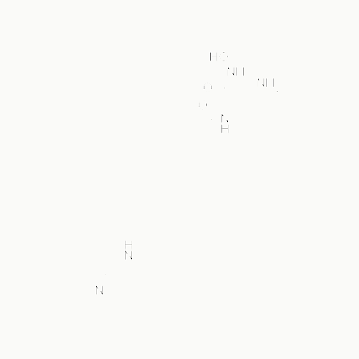 CN(C)CCNCc1ccc(C#Cc2ccc(C(=O)N[C@@H](CN)C(=O)NO)cc2)cc1